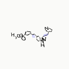 COC(=O)c1cccc(/C=C/c2ccc3[nH]nc(/C=C/c4cccnc4)c3c2)c1